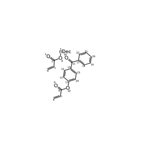 C=CC(=O)OCCCCCCCCCC.C=CC(=O)Oc1ccc(C(=O)c2ccccc2)cc1